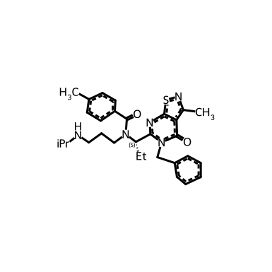 CC[C@@H](c1nc2snc(C)c2c(=O)n1Cc1ccccc1)N(CCCNC(C)C)C(=O)c1ccc(C)cc1